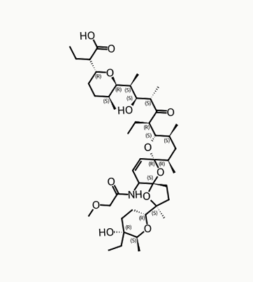 CCC(C(=O)O)[C@H]1CC[C@H](C)[C@H]([C@@H](C)[C@H](O)[C@H](C)C(=O)[C@H](CC)[C@H]2O[C@]3(C=CC(NC(=O)COC)[C@]4(CC[C@@](C)([C@H]5CC[C@](O)(CC)[C@H](C)O5)O4)O3)[C@H](C)C[C@@H]2C)O1